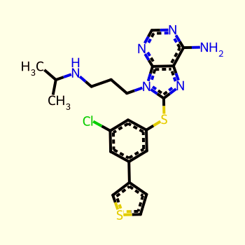 CC(C)NCCCn1c(Sc2cc(Cl)cc(-c3ccsc3)c2)nc2c(N)ncnc21